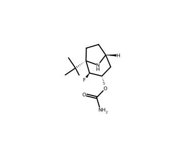 CC(C)(C)[C@@]12CC[C@H](C[C@H](OC(N)=O)[C@H]1F)N2